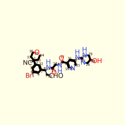 N#CC1(c2cc(Br)cc([C@H](CC=O)NC(=O)CNC(=O)c3cncc(NC4=NCC(O)CN4)c3)c2)CCOCC1